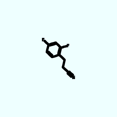 N#CCCc1ccc(F)cc1F